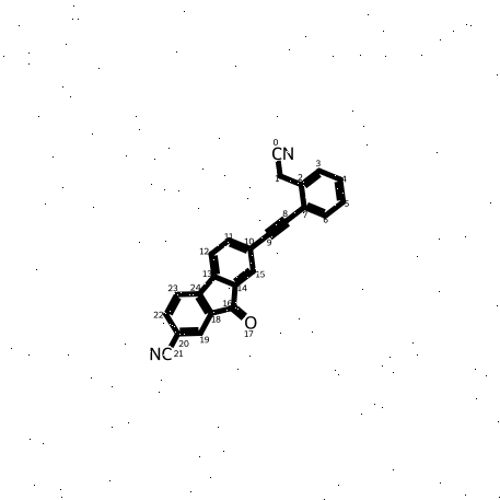 N#CCc1ccccc1C#Cc1ccc2c(c1)C(=O)c1cc(C#N)ccc1-2